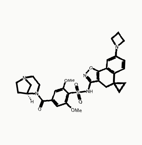 COc1cc(C(=O)N2CCN3CC[C@H]2C3)cc(OC)c1S(=O)(=O)Nc1noc2c1CC1(CC1)c1ccc(N3CCC3)cc1-2